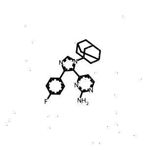 Nc1nccc(-c2c(-c3ccc(F)cc3)ncn2C23CC4CC(CC(C4)C2)C3)n1